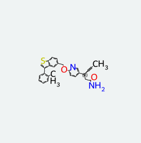 CC#C[C@@H](CC(N)=O)c1ccc(OCc2ccc3scc(-c4ccccc4C)c3c2)nc1